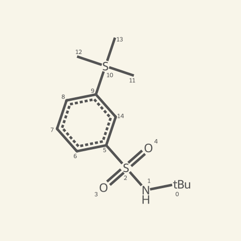 CC(C)(C)NS(=O)(=O)c1cccc(S(C)(C)C)c1